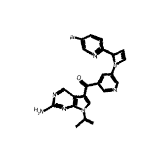 CC(C)n1cc(C(=O)c2cncc(N3C=CC3c3ccc(Br)cn3)c2)c2cnc(N)nc21